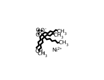 CCCCCCC(CCCC)(CCCCCC)C(CCCCCC)(CCCCCC)P(=O)([O-])[O-].[Ni+2]